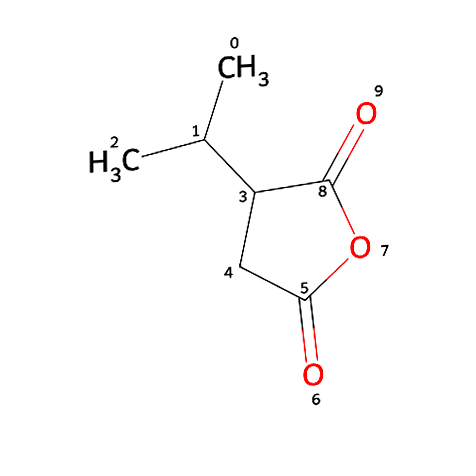 CC(C)C1CC(=O)OC1=O